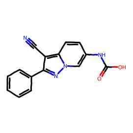 N#Cc1c(-c2ccccc2)nn2cc(NC(=O)O)ccc12